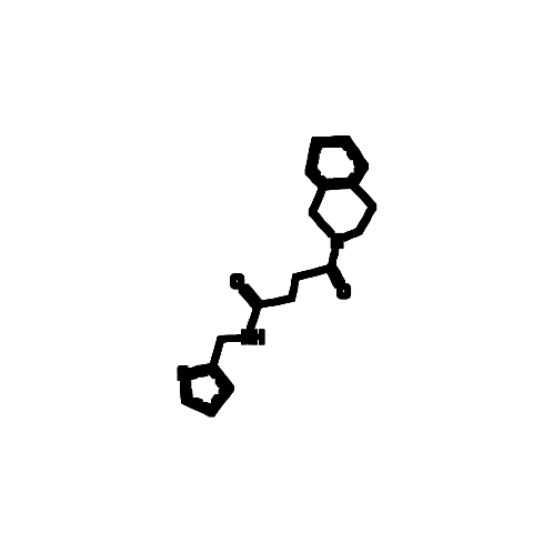 O=C(CCC(=O)N1CCc2ccccc2C1)NCc1cccs1